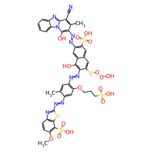 COc1ccc2nc(N=Nc3cc(OCCCS(=O)(=O)O)c(N=Nc4c(SOOO)cc5cc(S(=O)(=O)O)c(N=Nc6c(C)c(C#N)c7nc8ccccc8n7c6O)cc5c4O)cc3C)sc2c1S(=O)(=O)O